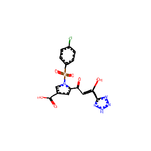 O=C(O)c1cc(C(=O)C=C(O)c2nn[nH]n2)n(S(=O)(=O)c2ccc(Cl)cc2)c1